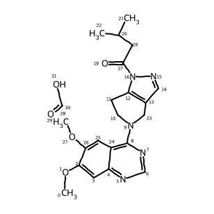 COc1cc2ncnc(N3CCc4c(cnn4C(=O)CC(C)C)C3)c2cc1OC.O=CO